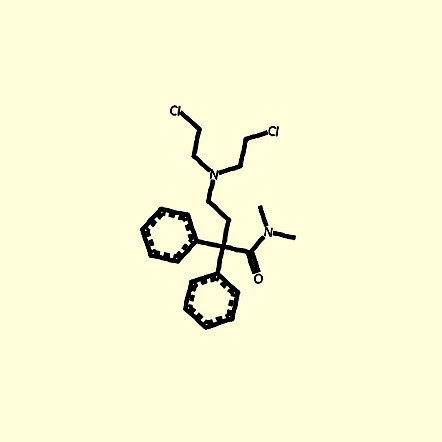 CN(C)C(=O)C(CCN(CCCl)CCCl)(c1ccccc1)c1ccccc1